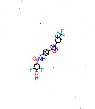 O=C(NCC12CCC(c3nc(-c4ccc(C(F)(F)F)nc4)no3)(CC1)CC2)c1cc(F)c(O)c(F)c1